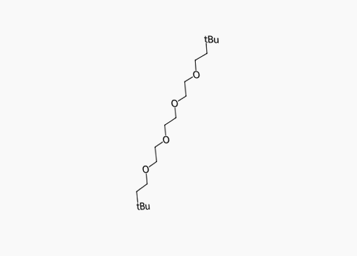 CC(C)(C)CCOCCOCCOCCOCCC(C)(C)C